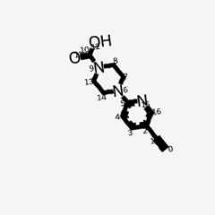 C#Cc1ccc(N2CCN(C(=O)O)CC2)nc1